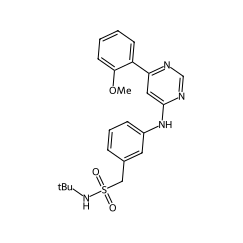 COc1ccccc1-c1cc(Nc2cccc(CS(=O)(=O)NC(C)(C)C)c2)ncn1